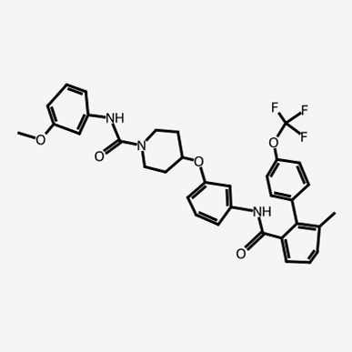 COc1cccc(NC(=O)N2CCC(Oc3cccc(NC(=O)c4cccc(C)c4-c4ccc(OC(F)(F)F)cc4)c3)CC2)c1